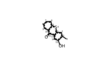 Cc1cc2sc3ccccc3c(=O)c2cc1O